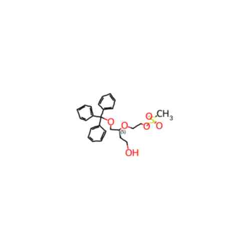 CS(=O)(=O)OCCO[C@@H](CCO)COC(c1ccccc1)(c1ccccc1)c1ccccc1